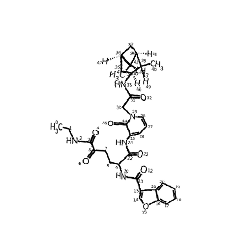 CCNC(=O)C(=O)CC[C@H](NC(=O)c1coc2ccccc12)C(=O)Nc1cccn(CC(=O)N[C@H]2C[C@H]3C[C@@H]([C@@H]2C)C3(C)C)c1=O